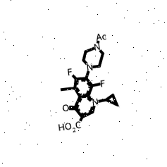 CC(=O)N1CCN(c2c(F)c(C)c3c(=O)c(C(=O)O)cn(C4CC4)c3c2F)CC1